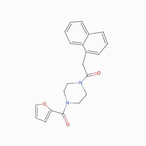 O=C(Cc1cccc2ccccc12)N1CCN(C(=O)c2ccco2)CC1